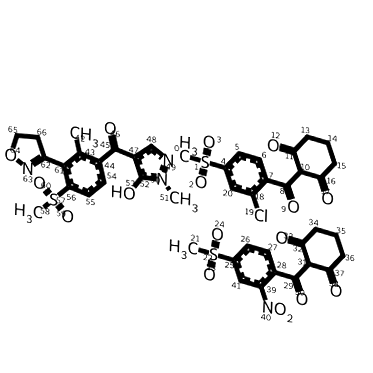 CS(=O)(=O)c1ccc(C(=O)C2C(=O)CCCC2=O)c(Cl)c1.CS(=O)(=O)c1ccc(C(=O)C2C(=O)CCCC2=O)c([N+](=O)[O-])c1.Cc1c(C(=O)c2cnn(C)c2O)ccc(S(C)(=O)=O)c1C1=NOCC1